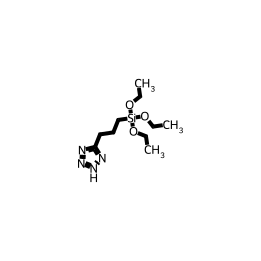 CCO[Si](CCCc1nn[nH]n1)(OCC)OCC